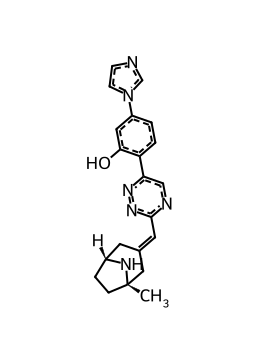 C[C@]12CC[C@H](C/C(=C\c3ncc(-c4ccc(-n5ccnc5)cc4O)nn3)C1)N2